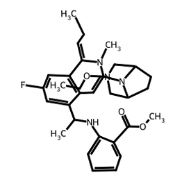 CCC=C1c2cc(F)cc(C(C)Nc3ccccc3C(=O)OC)c2C=C(N2C3CCC2CN(OCC)C3)N1C